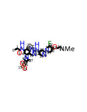 C=CC(=O)Nc1cc(N2C[C@H](CS(C)(=O)=O)[C@H]2C)c2cnc(Nc3ccnc(N4CC[C@@H](OCCNC)[C@@H](F)C4)c3)nc2c1C(C)C